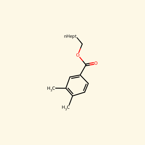 CCCCCCCCOC(=O)c1ccc(C)c(C)c1